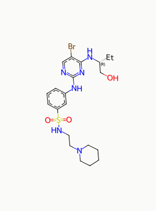 CC[C@H](CO)Nc1nc(Nc2cccc(S(=O)(=O)NCCN3CCCCC3)c2)ncc1Br